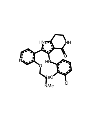 CNCCOc1cnccc1-c1[nH]c2c(c1Nc1cccc(Cl)c1OC)C(=O)NCC2